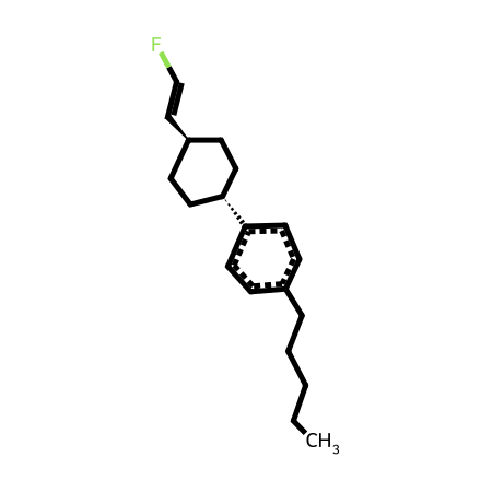 CCCCCc1ccc([C@H]2CC[C@H](C=CF)CC2)cc1